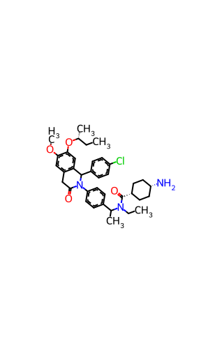 CC[C@@H](C)Oc1cc2c(cc1OC)CC(=O)N(c1ccc(C(C)N(CC)C(=O)[C@H]3CC[C@@H](N)CC3)cc1)C2c1ccc(Cl)cc1